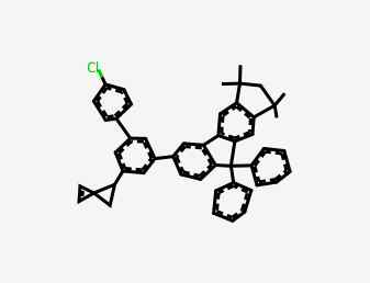 CC1(C)CC(C)(C)c2cc3c(cc21)-c1cc(-c2cc(-c4ccc(Cl)cc4)cc(C4CC45C=C5)c2)ccc1C3(c1ccccc1)c1ccccc1